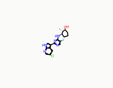 C[C@@H]1[C@@H](O)CCC[C@H]1Nc1nc(-c2c[nH]c3ncc(Cl)cc23)ncc1F